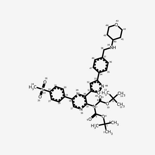 CC(C)(C)OC(=O)N(C(=O)OC(C)(C)C)c1ncc(-c2ccc(S(C)(=O)=O)cc2)nc1-c1cc(-c2ccc(CNC3CCOCC3)cc2)no1